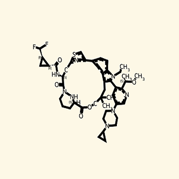 CCn1c(-c2cc(N3CCN(C4CC4)CC3)cnc2[C@H](C)OC)c2c3cc(ccc31)-c1csc(n1)C[C@H](NC(=O)[C@@H]1C[C@H]1C(F)F)C(=O)N1CCC[C@H](N1)C(=O)OCC(C)(C)C2